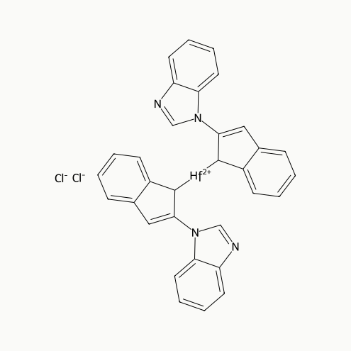 C1=C(n2cnc3ccccc32)[CH]([Hf+2][CH]2C(n3cnc4ccccc43)=Cc3ccccc32)c2ccccc21.[Cl-].[Cl-]